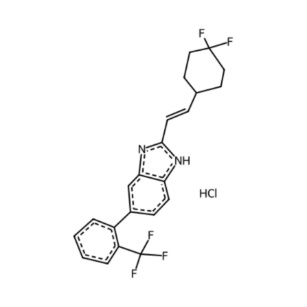 Cl.FC1(F)CCC(/C=C/c2nc3cc(-c4ccccc4C(F)(F)F)ccc3[nH]2)CC1